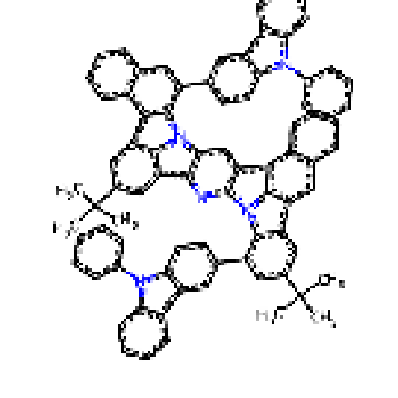 CC(C)(C)c1cc(-c2ccc3c(c2)c2ccccc2n3-c2ccccc2)c2c(c1)c1cc3ccccc3c3c4cc5c(nc4n2c13)c1cc(C(C)(C)C)cc2c3c4ccccc4cc(-c4ccc6c(c4)c4ccccc4n6-c4ccccc4)c3n5c12